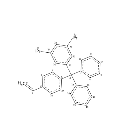 C=Cc1ccc(C(c2ccccc2)(c2ccccc2)c2cc(C(C)C)[c]c(C(C)C)c2)cc1